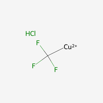 Cl.F[C](F)(F)[Cu+2]